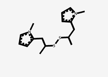 CC(Cc1cccn1C)SSC(C)Cc1cccn1C